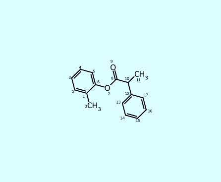 Cc1ccccc1OC(=O)C(C)c1ccccc1